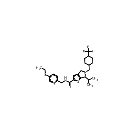 CCSc1ccc(CNC(=O)c2cc3c(o2)C(C(C)C)N(CC2CCC(C(F)(F)F)CC2)C3)nc1